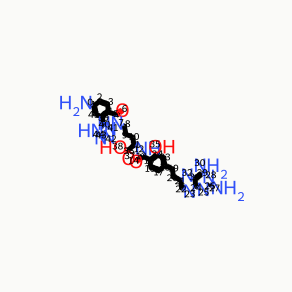 Nc1ccc(C(=O)NCCCC(NC(=O)c2ccc(CCc3cnc4nc(N)nc(N)c4n3)cc2O)C(=O)O)c(-c2nnn[nH]2)c1